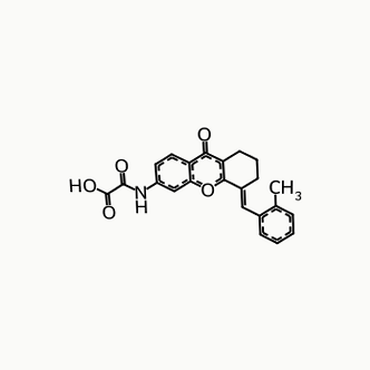 Cc1ccccc1C=C1CCCc2c1oc1cc(NC(=O)C(=O)O)ccc1c2=O